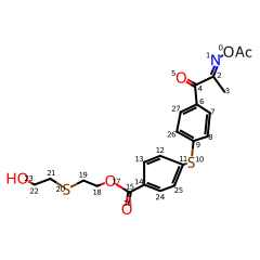 CC(=O)O/N=C(\C)C(=O)c1ccc(Sc2ccc(C(=O)OCCSCCO)cc2)cc1